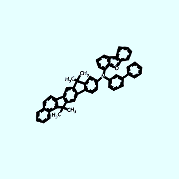 CC1(C)c2cc(N(c3cccc(-c4ccccc4)c3)c3cccc4c3oc3ccccc34)ccc2-c2cc3c(cc21)-c1ccc2ccccc2c1C3(C)C